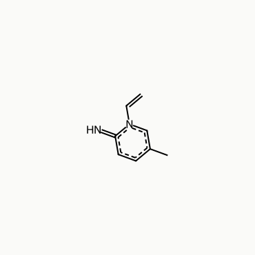 C=Cn1cc(C)ccc1=N